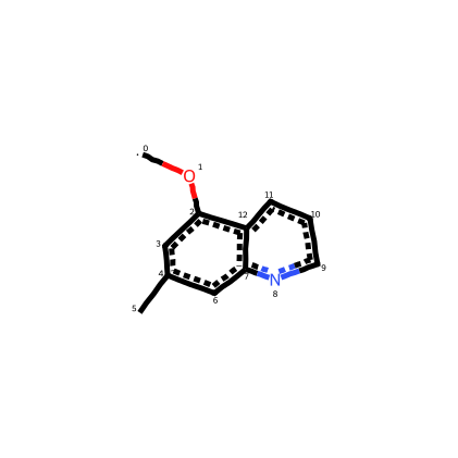 [CH2]Oc1cc(C)cc2ncccc12